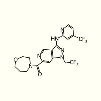 O=C(c1cc2c(cn1)c(Nc1cc(C(F)(F)F)ccn1)nn2CC(F)(F)F)N1CCCOCC1